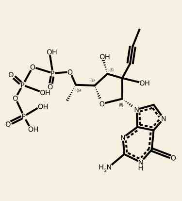 CC#CC1(O)[C@@H](O)[C@@H]([C@H](C)OP(=O)(O)OP(=O)(O)OP(=O)(O)O)O[C@H]1n1cnc2c(=O)[nH]c(N)nc21